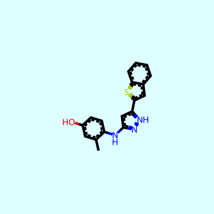 Cc1cc(O)ccc1Nc1cc(-c2cc3ccccc3s2)[nH]n1